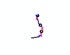 CCCCCCCc1noc(-c2ccc(S(=O)(=O)Nc3ccc(CCNCC(O)c4cccnc4)cc3)cc2)n1